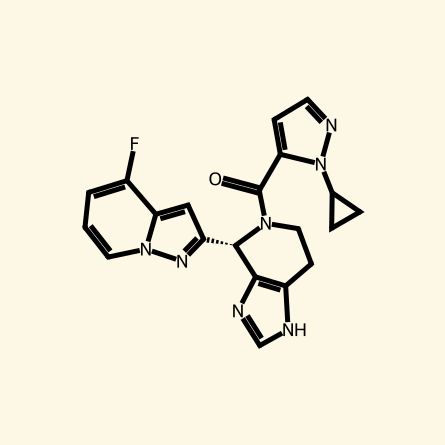 O=C(c1ccnn1C1CC1)N1CCc2[nH]cnc2[C@@H]1c1cc2c(F)cccn2n1